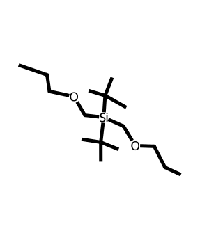 CCCOC[Si](COCCC)(C(C)(C)C)C(C)(C)C